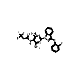 Nc1nc(-n2nc(Sc3ccccc3F)c3ccccc32)nc(N)c1NC(=O)CC(F)(F)F